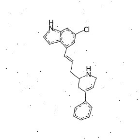 Clc1cc(/C=C/CC2CC(c3ccccc3)=CCN2)c2cc[nH]c2c1